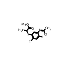 COC(=O)C(C)Sc1cc(N=C(C)Cl)c(F)cc1Cl